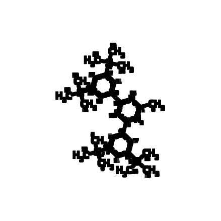 Cc1nc(-c2cc([Si](C)(C)C)cc([Si](C)(C)C)c2)nc(-c2cc([Si](C)(C)C)cc([Si](C)(C)C)c2)n1